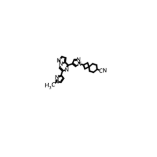 Cn1ccc(-c2cn3nccc3c(-c3cnn(C4CC5(CCC(C#N)CC5)C4)c3)n2)n1